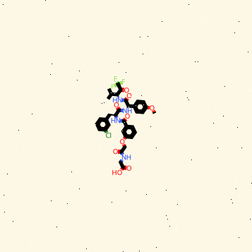 COc1ccc([C@H](NC(=O)[C@H](Cc2cccc(Cl)c2)NC(=O)c2cccc(OCC(=O)NCC(=O)O)c2)C(=O)N[C@H](C(=O)C(F)(F)F)C(C)C)cc1